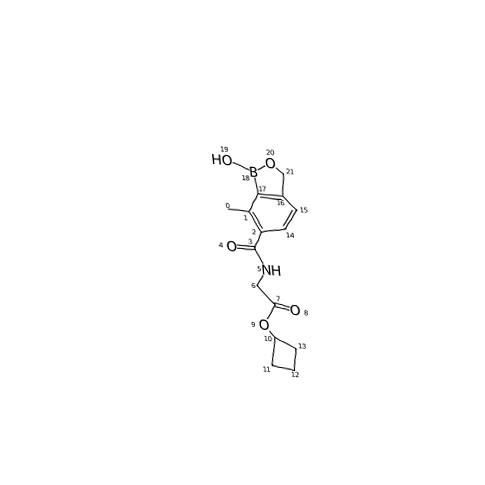 Cc1c(C(=O)NCC(=O)OC2CCC2)ccc2c1B(O)OC2